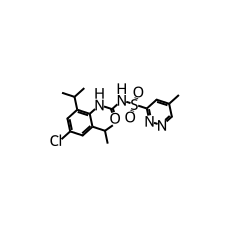 Cc1cnnc(S(=O)(=O)NC(=O)Nc2c(C(C)C)cc(Cl)cc2C(C)C)c1